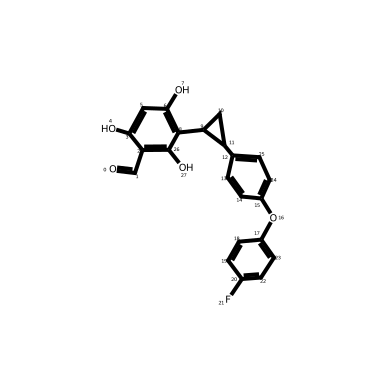 O=Cc1c(O)cc(O)c(C2CC2c2ccc(Oc3ccc(F)cc3)cc2)c1O